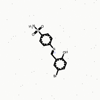 NS(=O)(=O)c1ccc(/N=C/c2cc(Br)ccc2O)cc1